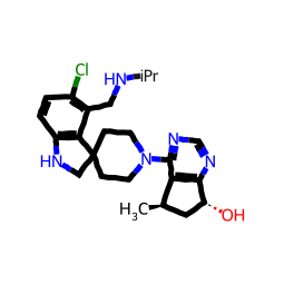 CC(C)NCc1c(Cl)ccc2c1C1(CCN(c3ncnc4c3[C@H](C)C[C@H]4O)CC1)CN2